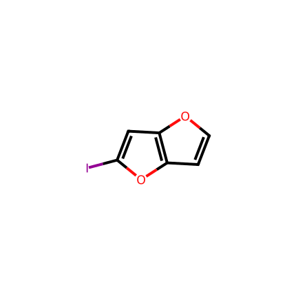 Ic1cc2occc2o1